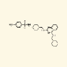 Cc1ccc(S(=O)(=O)NC[C@H]2CC[C@H](CNc3nc(NCC4CCCCC4)c4ccccc4n3)CC2)cc1